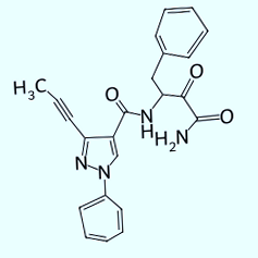 CC#Cc1nn(-c2ccccc2)cc1C(=O)NC(Cc1ccccc1)C(=O)C(N)=O